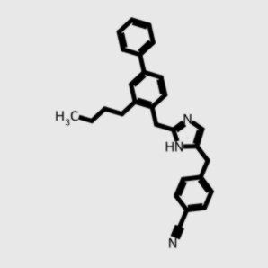 CCCCc1cc(-c2ccccc2)ccc1Cc1ncc(Cc2ccc(C#N)cc2)[nH]1